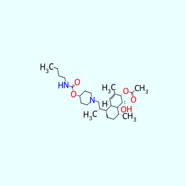 CCCCNC(=O)OC1CCN(C[C@@H](C)[C@@H]2CC[C@@H](C)[C@]3(O)[C][C@@H](OC(C)=O)C(C)=C[C@H]23)CC1